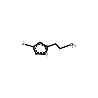 CCCc1cc(Br)co1